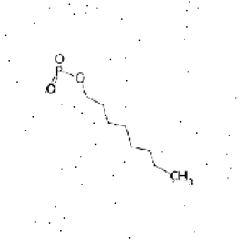 CCCCCCCCOP(=O)=O